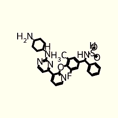 Cc1cc(C(N[SH](=O)=O)c2ccccc2)cc(F)c1Oc1ncccc1-c1ccnc(N[C@H]2CC[C@H](N)CC2)n1